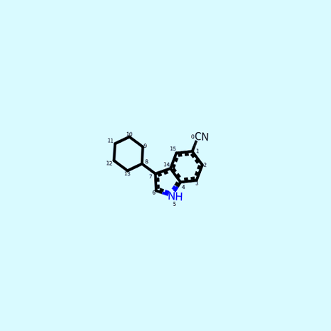 N#Cc1ccc2[nH]cc(C3CCCCC3)c2c1